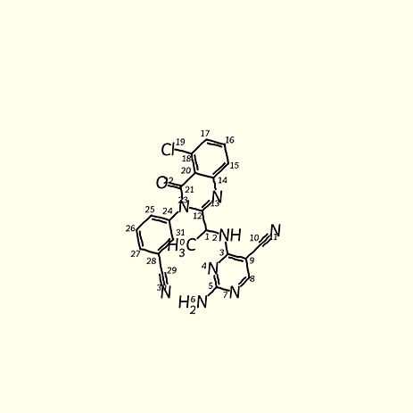 CC(Nc1nc(N)ncc1C#N)c1nc2cccc(Cl)c2c(=O)n1-c1cccc(C#N)c1